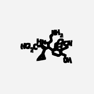 NCCc1[nH]c(C(=O)O)c(C2CC2)c1-c1ccc(CO)c(CO)c1CO